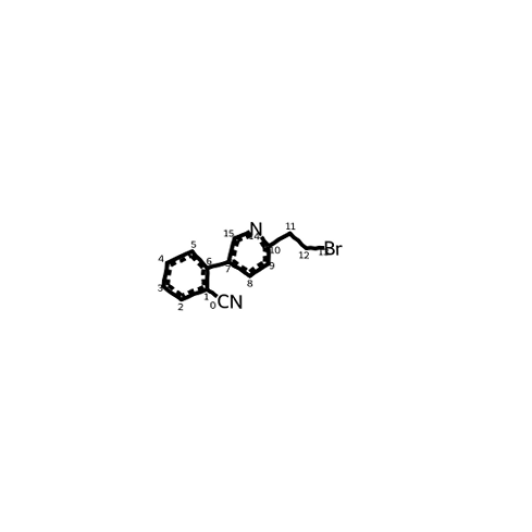 N#Cc1ccccc1-c1ccc(CCBr)nc1